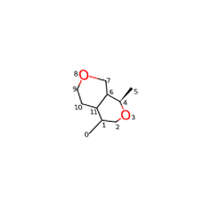 CC1CO[C@H](C)C2COCCC12